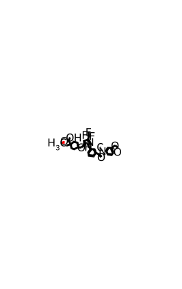 CCC1(C(=O)O)CCC(Oc2cc(C(F)(F)F)nn2-c2cccc(C(=O)N(C)c3ccc4c(c3)OCO4)c2)CC1